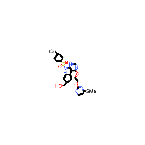 CSc1ccnc(OCCOc2ncnc(NS(=O)(=O)c3ccc(C(C)(C)C)cc3)c2-c2ccc(CO)cc2)n1